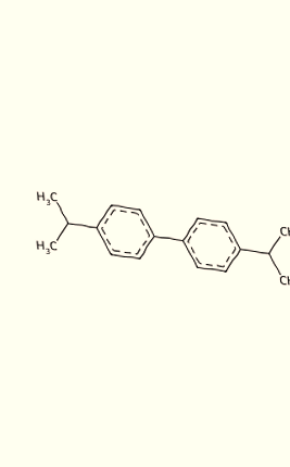 CC(C)c1ccc(-c2ccc(C(C)C)cc2)cc1